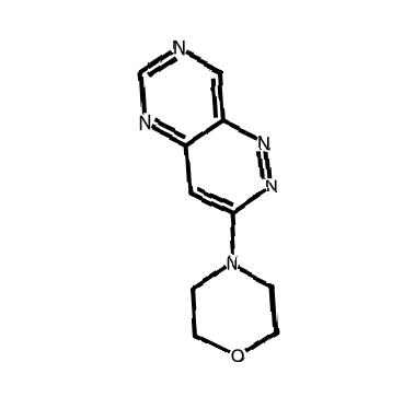 c1ncc2nnc(N3CCOCC3)cc2n1